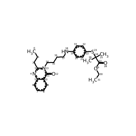 CCCc1nc2ccccc2c(=O)n1CCCCNc1ccc(SC(C)(C)C(=O)OCC)cc1